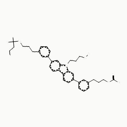 CCCC(C)(N)NCCCc1cccc(-c2ccc3c4ccc(-c5cccc(CCCNC(=N)N)c5)cc4n(CCCNN)c3c2)c1